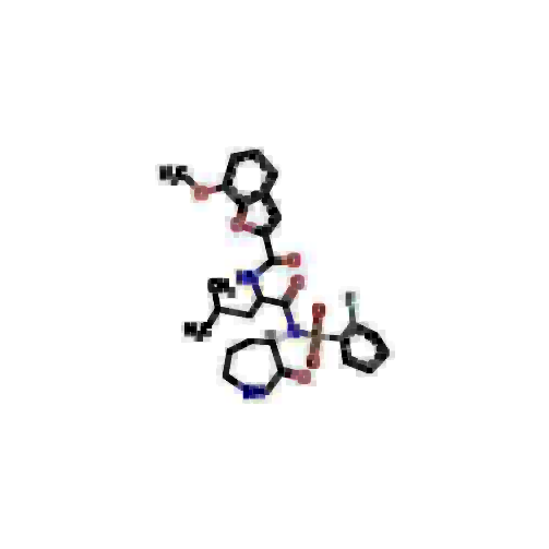 COc1cccc2cc(C(=O)NC(CC(C)C)C(=O)N([C@H]3CCCNCC3=O)S(=O)(=O)c3ccccc3F)oc12